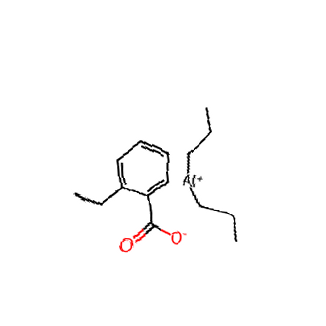 CC[CH2][Al+][CH2]CC.CCc1ccccc1C(=O)[O-]